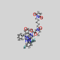 O=C(CCCCCN1C(=O)C=CC1=O)N1CCO[C@H](C(=O)N(C[C@@H]2CNC[C@@H]2F)[C@@H](c2nc(-c3cc(F)ccc3F)cn2Cc2ccccc2)C2CCOCC2)C1